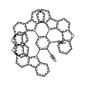 N#Cc1c(-n2c3ccccc3c3ccc4sc5ccccc5c4c32)cc(-n2c3ccccc3c3ccc4sc5ccccc5c4c32)c(-n2c3ccccc3c3ccc4sc5ccccc5c4c32)c1C#N